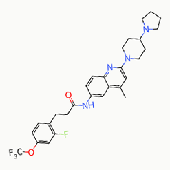 Cc1cc(N2CCC(N3CCCC3)CC2)nc2ccc(NC(=O)CCc3ccc(OC(F)(F)F)cc3F)cc12